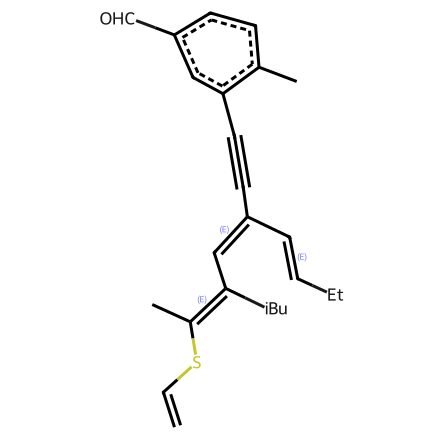 C=CS/C(C)=C(/C=C(C#Cc1cc(C=O)ccc1C)\C=C\CC)C(C)CC